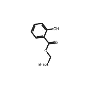 CCCCCCCCOC(=S)c1ccccc1O